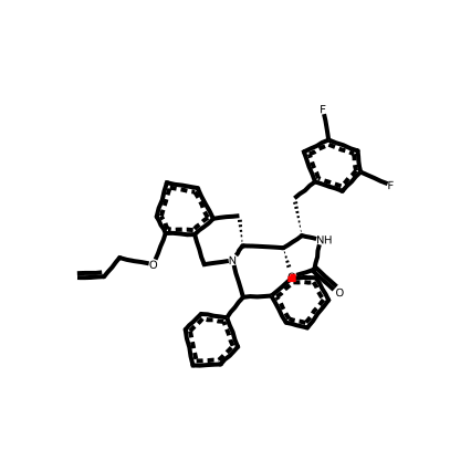 C=CCOc1cccc2c1CN(C(c1ccccc1)c1ccccc1)[C@@H]([C@H]1OC(=O)N[C@H]1Cc1cc(F)cc(F)c1)C2